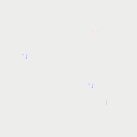 CN1CC(=O)c2ccncc2C1